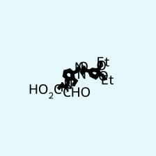 CCOc1ccc(-c2nc(-c3cccc4c3CCN4N(C=O)CC(=O)O)no2)cc1OCC